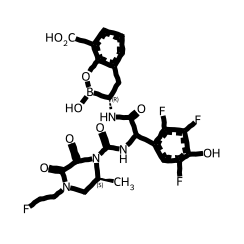 C[C@H]1CN(CCF)C(=O)C(=O)N1C(=O)NC(C(=O)N[C@H]1Cc2cccc(C(=O)O)c2OB1O)c1cc(F)c(O)c(F)c1F